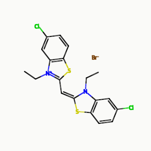 CCN1C(=Cc2sc3ccc(Cl)cc3[n+]2CC)Sc2ccc(Cl)cc21.[Br-]